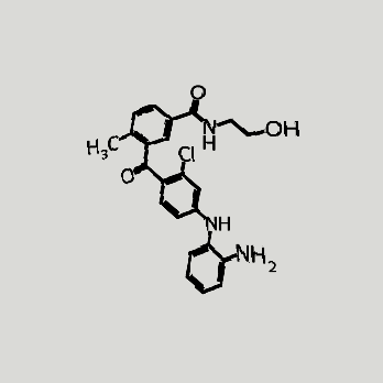 Cc1ccc(C(=O)NCCO)cc1C(=O)c1ccc(Nc2ccccc2N)cc1Cl